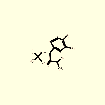 C=C(C(C)C)[C@H](CC(C)(C)N)c1ccc(Cl)c(F)c1